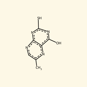 Cc1cnc2nc(S)nc(O)c2n1